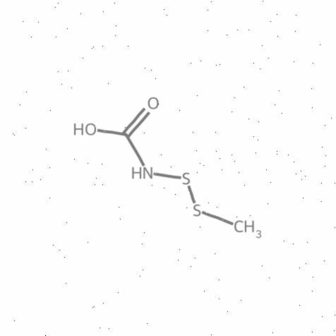 CSSNC(=O)O